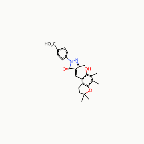 CC1=NN(c2ccc(C(=O)O)cc2)C(=O)C1=Cc1c(O)c(C)c(C)c2c1CCC(C)(C)O2